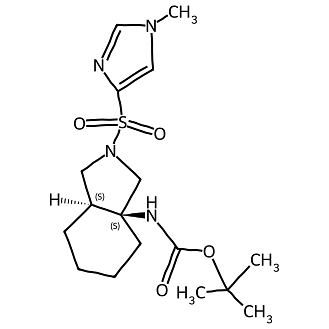 Cn1cnc(S(=O)(=O)N2C[C@@H]3CCCC[C@@]3(NC(=O)OC(C)(C)C)C2)c1